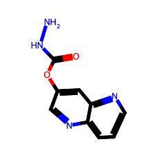 NNC(=O)Oc1cnc2cccnc2c1